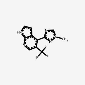 Cn1cnc(-c2c(C(F)(F)F)cnc3[nH]ccc23)n1